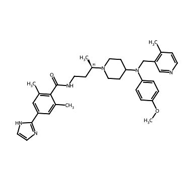 COc1ccc(N(Cc2cnccc2C)C2CCN([C@H](C)CCNC(=O)c3c(C)cc(-c4ncc[nH]4)cc3C)CC2)cc1